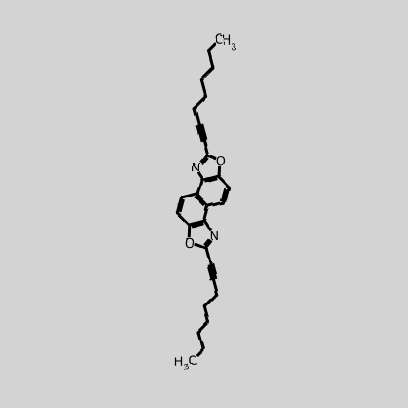 CCCCCCC#Cc1nc2c(ccc3c2ccc2oc(C#CCCCCCC)nc23)o1